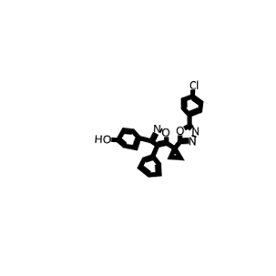 Oc1ccc(-c2noc(C3(c4nnc(-c5ccc(Cl)cc5)o4)CC3)c2-c2ccccc2)cc1